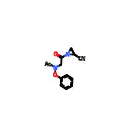 CC(=O)N(CC(=O)N1CC1C#N)Oc1ccccc1